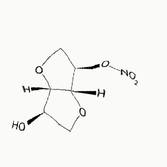 O=[N+]([O-])O[C@@H]1CO[C@@H]2[C@H]1OC[C@H]2O